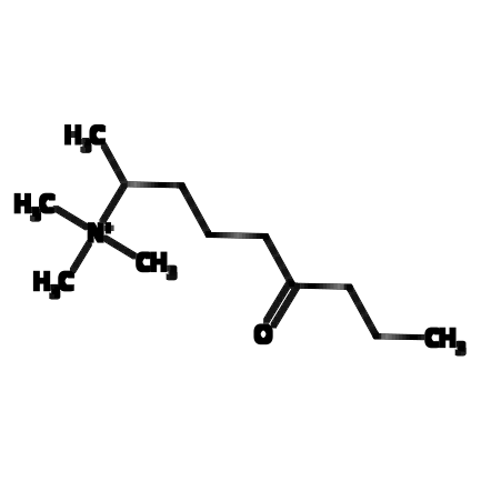 CCCC(=O)CCCC(C)[N+](C)(C)C